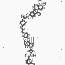 Cc1cccc(C(=O)NC2CC(n3cnc4c(NC5CCN(CCOC6CCN(C(=O)COc7ccc8c(c7)C(=O)N([C@H]7CCC(=O)NC7=O)C8=O)CC6)CC5)ncnc43)C2)n1